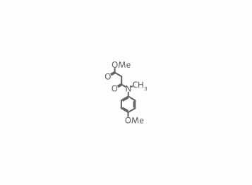 COC(=O)CC(=O)N(C)c1ccc(OC)cc1